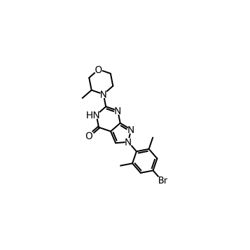 Cc1cc(Br)cc(C)c1-n1cc2c(=O)[nH]c(N3CCOCC3C)nc2n1